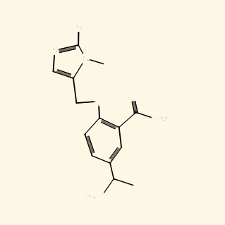 COC(=O)c1cc(C(C)OC)ccc1OCc1cnc([N+](=O)[O-])n1C